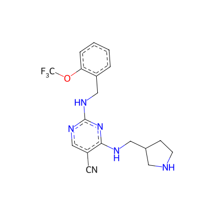 N#Cc1cnc(NCc2ccccc2OC(F)(F)F)nc1NCC1CCNC1